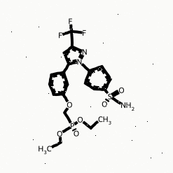 CCOP(=O)(COc1cccc(-c2cc(C(F)(F)F)nn2-c2ccc(S(N)(=O)=O)cc2)c1)OCC